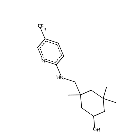 CC1(C)CC(O)CC(C)(CNc2ccc(C(F)(F)F)cn2)C1